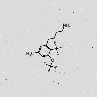 Cc1cc(CCCCN)c(C(F)(F)F)c(OC(F)(F)F)c1